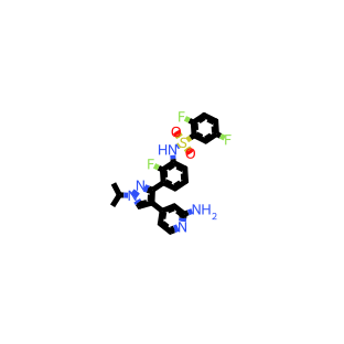 CC(C)n1cc(-c2ccnc(N)c2)c(-c2cccc(NS(=O)(=O)c3cc(F)ccc3F)c2F)n1